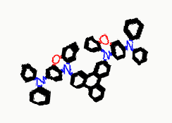 c1ccc(N(c2ccccc2)c2ccc3c(c2)Oc2ccccc2N3c2ccc3c4ccccc4c4ccc(N5c6ccccc6Oc6cc(N(c7ccccc7)c7ccccc7)ccc65)cc4c3c2)cc1